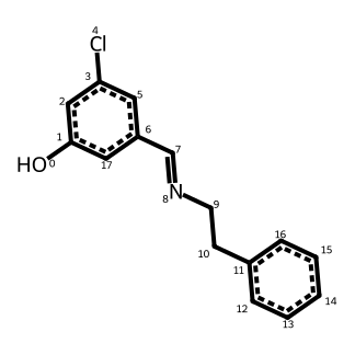 Oc1cc(Cl)cc(C=NCCc2ccccc2)c1